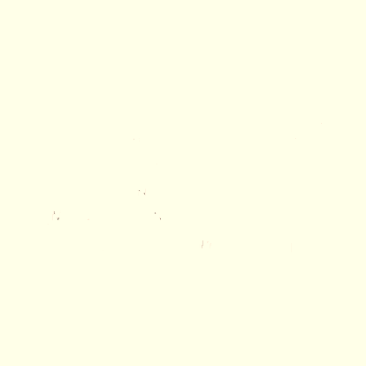 CC(C)c1nn(CC(N)=O)c(=O)cc1-c1cc(F)cc(C2CC2)c1